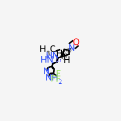 CC1C[C@]23C[C@@H](N4CCOCC4)C[C@H]2[C@@H]3/C(=C/C(=N)c2cnc(N)c(C(F)(F)F)c2)N1